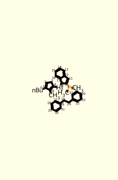 CCCCC1=CC[C]([Hf][CH]2C(P(C)C)=Cc3ccccc32)=C1C.c1ccc(CCc2ccccc2)cc1